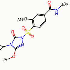 COc1cc(C(=O)NC(C)(C)C)ccc1S(=O)(=O)n1nc(OC(C)C)n(C2CC2)c1=O